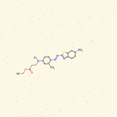 CCN(CCC(=O)OCC#N)c1ccc(/N=N/c2nc3ccc([N+](=O)[O-])cc3s2)c(C)c1